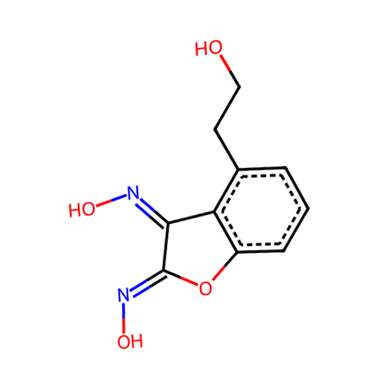 OCCc1cccc2c1C(=NO)C(=NO)O2